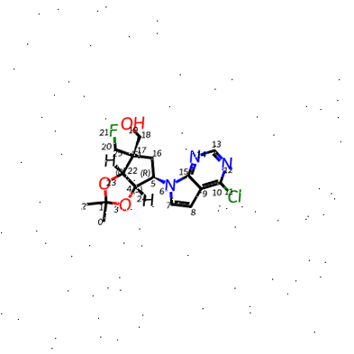 CC1(C)O[C@H]2[C@H](n3ccc4c(Cl)ncnc43)C[C@@](CO)(CF)[C@H]2O1